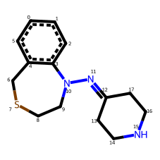 c1ccc2c(c1)CSCCN2N=C1CCNCC1